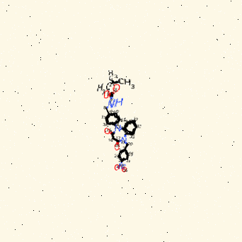 CC(C)(C)OC(=O)NCc1ccc(N2C(=O)CC(=O)N(Cc3ccc([N+](=O)[O-])cc3)c3ccccc32)cc1